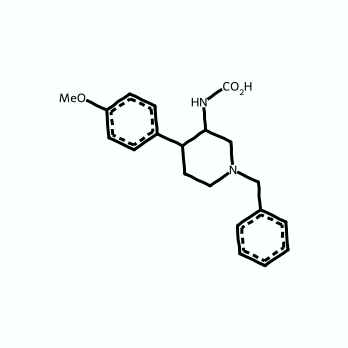 COc1ccc(C2CCN(Cc3ccccc3)CC2NC(=O)O)cc1